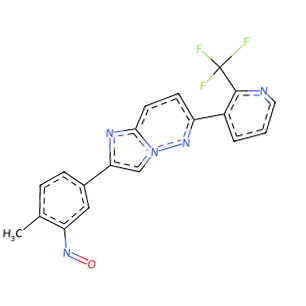 Cc1ccc(-c2cn3nc(-c4cccnc4C(F)(F)F)ccc3n2)cc1N=O